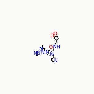 Cc1cc(N2CCN(Cc3cccnc3)C(CC(=O)NCCc3ccc4c(c3)OCO4)C2)nc(-n2ccnc2)n1